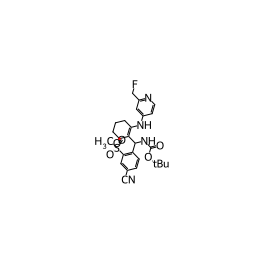 CC(C)(C)OC(=O)NC(C1=C(Nc2ccnc(CF)c2)CCCC1=O)c1ccc(C#N)cc1S(C)(=O)=O